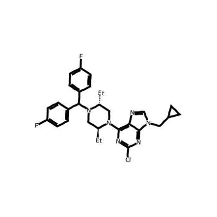 CC[C@H]1CN(C(c2ccc(F)cc2)c2ccc(F)cc2)[C@H](CC)CN1c1nc(Cl)nc2c1ncn2CC1CC1